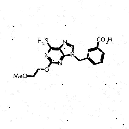 COCCOc1nc(N)c2ncn(Cc3cccc(C(=O)O)c3)c2n1